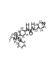 CC(C)N(Cc1ccccc1)S(=O)(=O)c1ccc(NC(=O)NCc2ccncc2)cc1